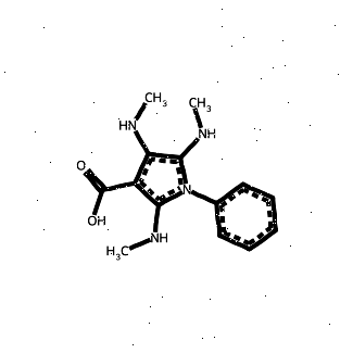 CNc1c(C(=O)O)c(NC)n(-c2ccccc2)c1NC